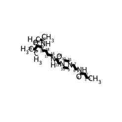 CCCC(=O)NCCN1CCN(CC(=O)NCCCC[C@H](NC(C)C)C(=O)C(C)C)CC1